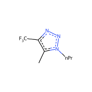 CCCn1nnc(C(F)(F)F)c1C